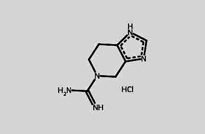 Cl.N=C(N)N1CCc2[nH]cnc2C1